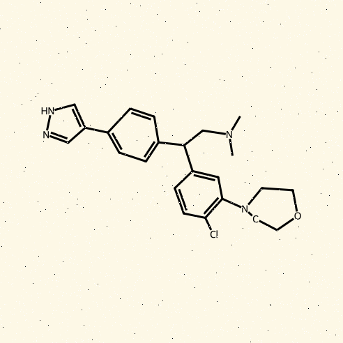 CN(C)CC(c1ccc(-c2cn[nH]c2)cc1)c1ccc(Cl)c(N2CCOCC2)c1